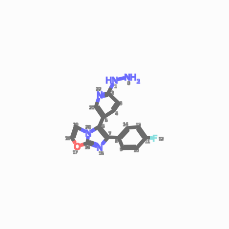 NNc1ccc(-c2c(-c3ccc(F)cc3)nc3occn23)cn1